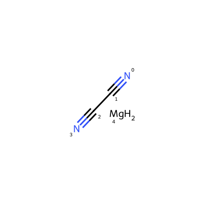 N#CC#N.[MgH2]